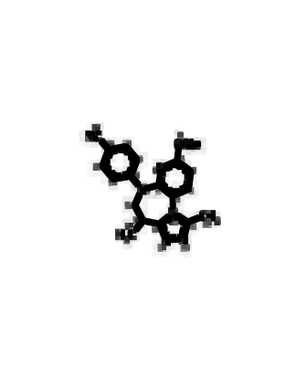 COc1ccc2c(n1)N(c1ccc(C#N)cc1)CC(C)c1nnc(C)n1-2